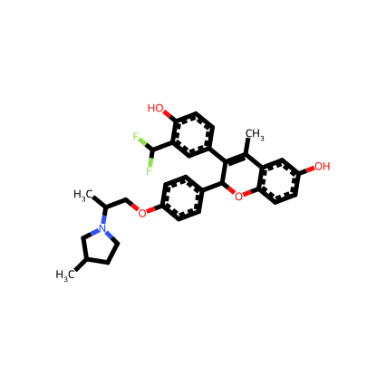 CC1=C(c2ccc(O)c(C(F)F)c2)C(c2ccc(OCC(C)N3CCC(C)C3)cc2)Oc2ccc(O)cc21